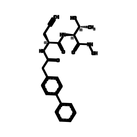 C#CC[C@H](NC(=O)Cc1ccc(-c2ccccc2)cc1)C(=O)N[C@H](C(=O)NO)[C@@H](C)O